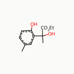 CCOC(=O)C(C)(O)c1cc(C)ccc1O